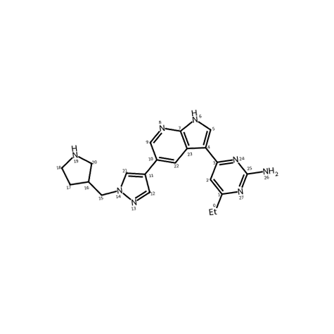 CCc1cc(-c2c[nH]c3ncc(-c4cnn(CC5CCNC5)c4)cc23)nc(N)n1